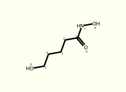 O=C(CCCCO)NO